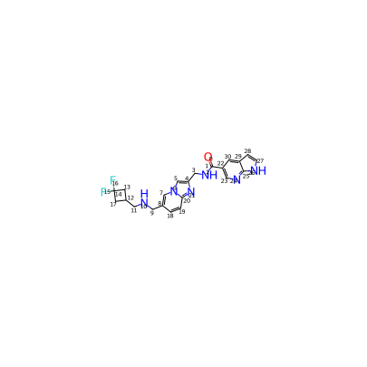 O=C(NCc1cn2cc(CNCC3CC(F)(F)C3)ccc2n1)c1cnc2[nH]ccc2c1